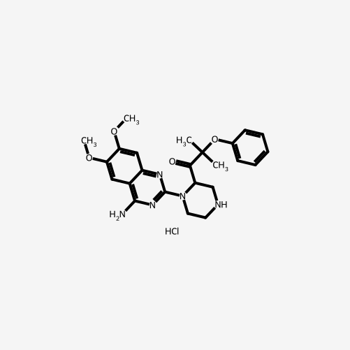 COc1cc2nc(N3CCNCC3C(=O)C(C)(C)Oc3ccccc3)nc(N)c2cc1OC.Cl